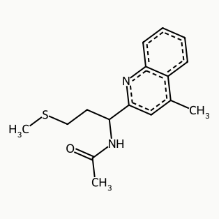 CSCCC(NC(C)=O)c1cc(C)c2ccccc2n1